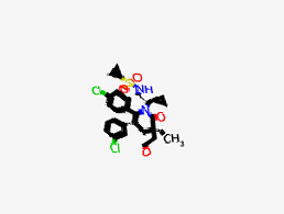 CC[C@]1(CC=O)C[C@H](c2cccc(Cl)c2)C(c2ccc(Cl)cc2)N([C@H](CNS(=O)(=O)C2CC2)C2CC2)C1=O